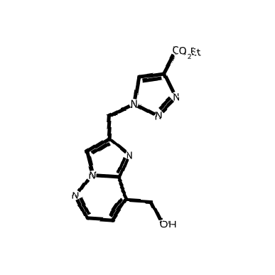 CCOC(=O)c1cn(Cc2cn3nccc(CO)c3n2)nn1